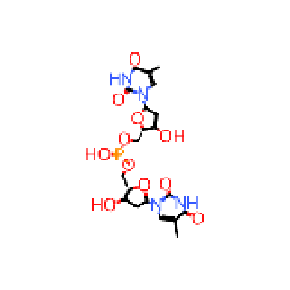 Cc1cn([C@H]2CC(O)[C@@H](COP(O)OC[C@H]3O[C@@H](n4cc(C)c(=O)[nH]c4=O)CC3O)O2)c(=O)[nH]c1=O